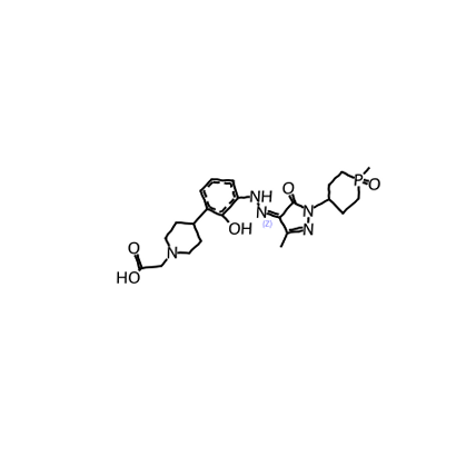 CC1=NN(C2CCP(C)(=O)CC2)C(=O)/C1=N\Nc1cccc(C2CCN(CC(=O)O)CC2)c1O